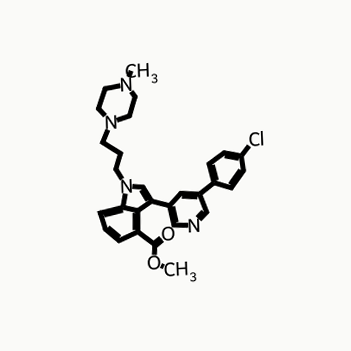 COC(=O)c1cccc2c1c(-c1cncc(-c3ccc(Cl)cc3)c1)cn2CCCN1CCN(C)CC1